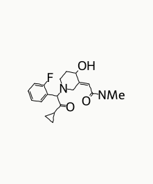 CNC(=O)/C=C1\CN(C(C(=O)C2CC2)c2ccccc2F)CCC1O